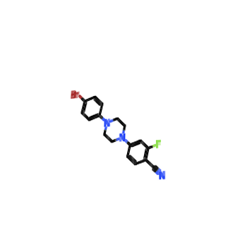 N#Cc1ccc(N2CCN(c3ccc(Br)cc3)CC2)cc1F